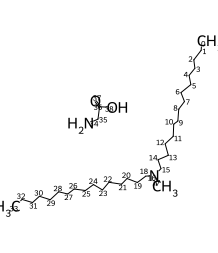 CCCCCCCCCCCCCCCCN(C)CCCCCCCCCCCCCCCC.NCC(=O)O